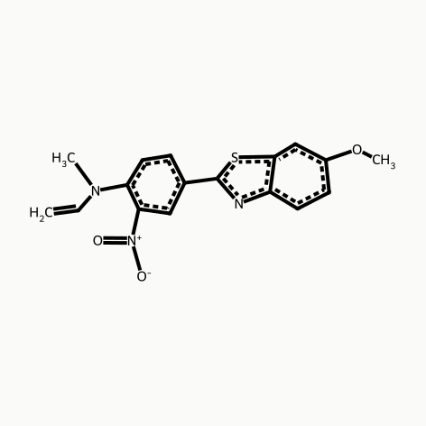 C=CN(C)c1ccc(-c2nc3ccc(OC)cc3s2)cc1[N+](=O)[O-]